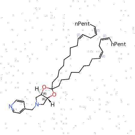 CCCCC/C=C\C/C=C\CCCCCCCCC1(CCCCCCCC/C=C\C/C=C\CCCCC)O[C@@H]2CN(Cc3ccncc3)C[C@H]2O1